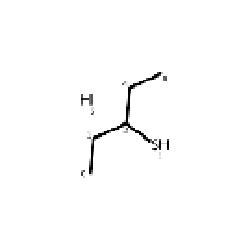 CCC(S)CC.I